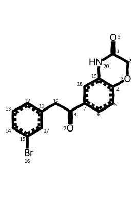 O=C1COc2ccc(C(=O)Cc3cccc(Br)c3)cc2N1